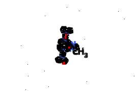 Cc1cccc2nc(-c3ccc(N(c4ccccc4)c4ccc(-n5c6ccccc6c6ccccc65)cc4)cc3)c(-c3ccc(N(c4ccccc4)c4ccc(-n5c6ccccc6c6ccccc65)cc4)cc3)nc12